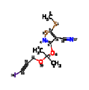 CSc1snc(OC(C)(C)OCC#CI)c1C#N